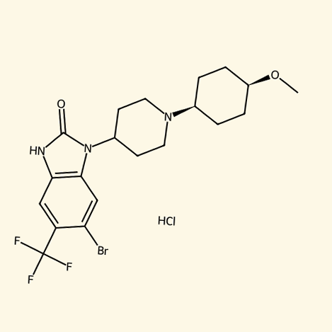 CO[C@H]1CC[C@@H](N2CCC(n3c(=O)[nH]c4cc(C(F)(F)F)c(Br)cc43)CC2)CC1.Cl